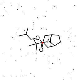 CC(C)COC(=O)N1C2CCC1CC(C(C)(C)C)C2